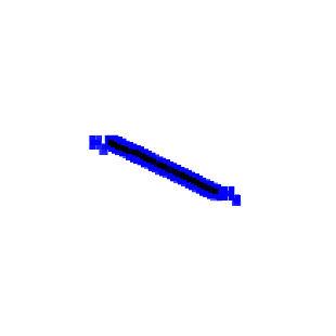 N/N=N/N=N/N=N/N=N/N=N/N=N/N=N/N=N/N=N/N=N/N=N/N=N/N=N/N=N/N=N/N=N/N=N/N=N/N=N/N=N/N=N/N=N/N=N/N=N/N=N/N=N/N=N/N=N/N=N/N